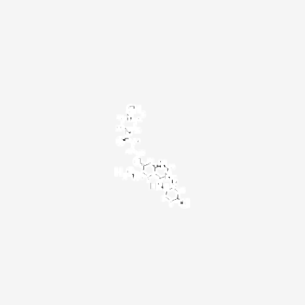 COc1cc2c(Nc3ccc(Cl)cc3F)ncnc2cc1OCCCC(=O)N1CCN(C)CC1